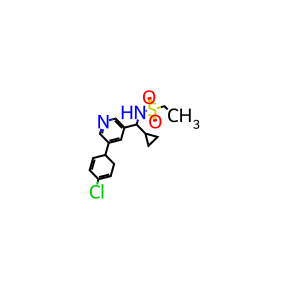 CCS(=O)(=O)NC(c1cncc(C2C=CC(Cl)=CC2)c1)C1CC1